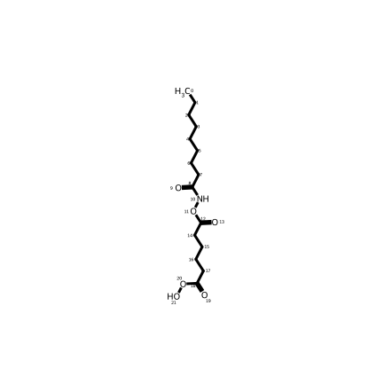 CCCCCCCCC(=O)NOC(=O)CCCCC(=O)OO